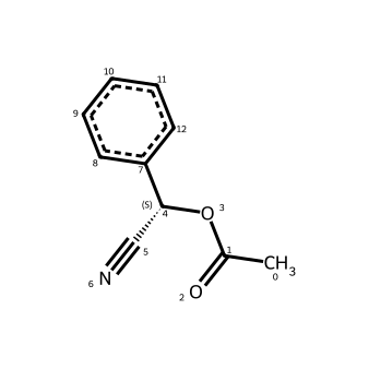 CC(=O)O[C@H](C#N)c1ccccc1